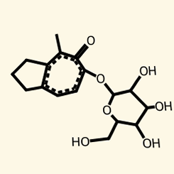 Cc1c2c(ccc(OC3OC(CO)C(O)C(O)C3O)c1=O)CCC2